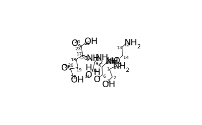 NCCO.NCCO.NCCO.NCCO.N[C@@H](CCC(=O)O)C(=O)O